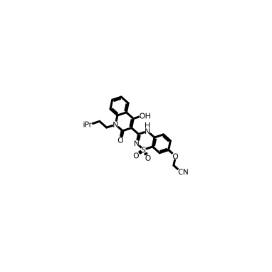 CC(C)CCn1c(=O)c(C2=NS(=O)(=O)c3cc(OCC#N)ccc3N2)c(O)c2ccccc21